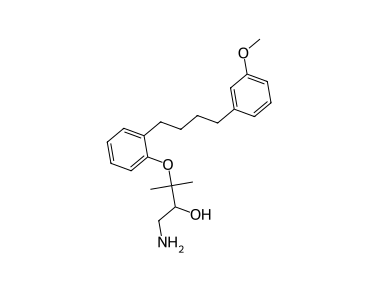 COc1cccc(CCCCc2ccccc2OC(C)(C)C(O)CN)c1